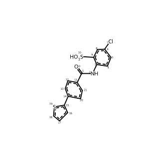 O=C(Nc1ccc(Cl)cc1S(=O)(=O)O)c1ccc(-c2cccs2)cc1